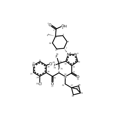 C[C@]1(C(=O)O)CC[C@H](n2ncc(C(=O)N(CC(=O)c3c(Cl)cncc3Cl)CC34CC(C3)C4)c2C(F)(F)F)CC1